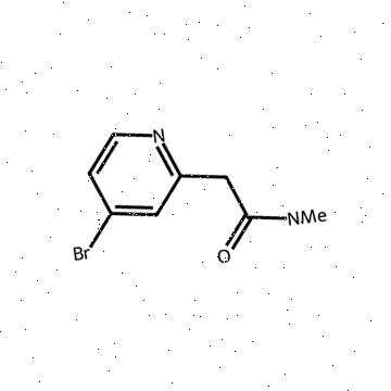 CNC(=O)Cc1cc(Br)ccn1